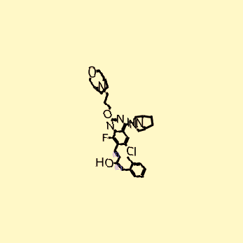 Cc1ccccc1/C=C(O)\C=C\c1c(Cl)cc2c(N3CC4CCC(C3)N4)nc(OCCCN3C4CCC3COC4)nc2c1F